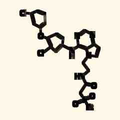 CCS(=O)(=O)CC(=O)NCCn1ccc2ncnc(Nc3ccc(Oc4cccc(Cl)c4)c(Cl)c3)c21